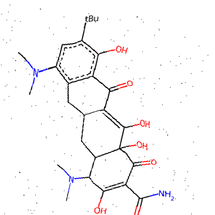 CN(C)c1cc(C(C)(C)C)c(O)c2c1CC1CC3C(N(C)C)C(O)=C(C(N)=O)C(=O)C3(O)C(O)=C1C2=O